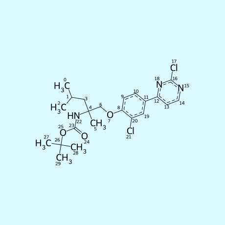 CC(C)CC(C)(COc1ccc(-c2ccnc(Cl)n2)cc1Cl)NC(=O)OC(C)(C)C